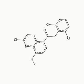 COc1ccc(C(=O)Cc2c(Cl)cncc2Cl)c2ccc(Cl)nc12